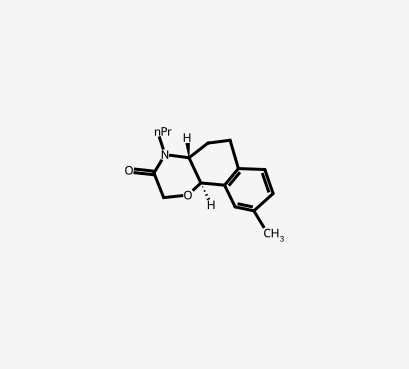 CCCN1C(=O)CO[C@@H]2c3cc(C)ccc3CC[C@H]21